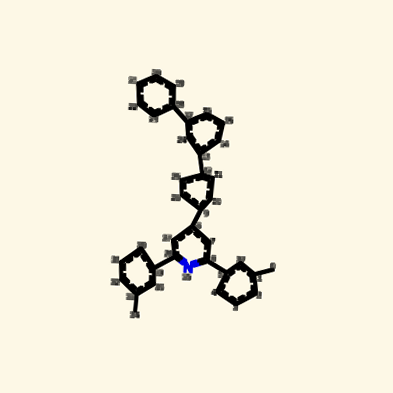 Cc1cccc(-c2cc(-c3ccc(-c4cccc(-c5ccccc5)c4)cc3)cc(-c3cccc(C)c3)n2)c1